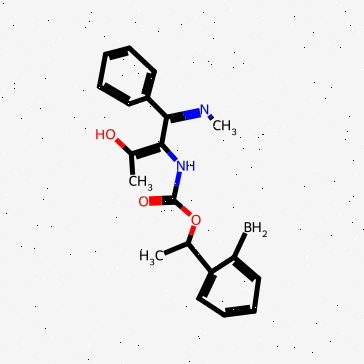 Bc1ccccc1C(C)OC(=O)NC(/C(=N\C)c1ccccc1)=C(\C)O